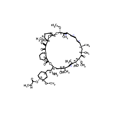 CNC(=O)O[C@@H]1CC[C@@H](C[C@@H](N)[C@@H]2C[C@@H](O)[C@H](C)/C=C(\C)[C@@H](O)[C@@H](OC)C(=O)[C@H](C)C[C@H](C)/C=C/C=C/C=C(\C)[C@@H](OC)C[C@@H]3CC[C@@H](C)[C@@](O)(O3)C(=O)C(=O)N3CCCC[C@H]3C(=O)O2)C[C@H]1OC